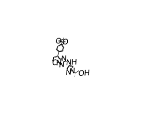 C[C@@H](CO)n1cc(Nc2nc3c(-c4ccc(S(C)(=O)=O)cc4)cccn3n2)cn1